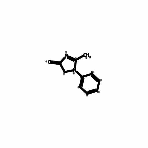 CC1=NC(=O)CN1c1ccccc1